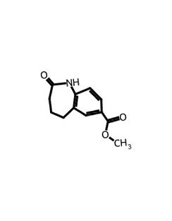 COC(=O)c1ccc2c(c1)CCCC(=O)N2